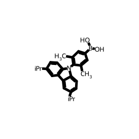 Cc1cc(B(O)O)cc(C)c1-n1c2ccc(C(C)C)cc2c2cc(C(C)C)ccc21